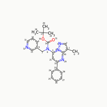 Cc1cnn2c(N(Cc3cccnc3)C(=O)OC(C)(C)C)cc(-c3ccccc3)nc12